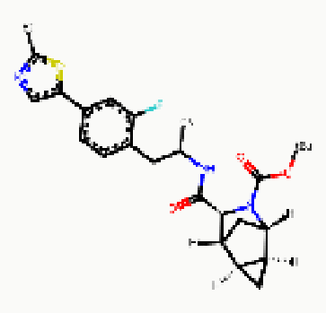 CCc1ncc(-c2ccc(C[C@@H](C#N)NC(=O)[C@@H]3[C@@H]4C[C@@H]([C@H]5C[C@@H]45)N3C(=O)OC(C)(C)C)c(F)c2)s1